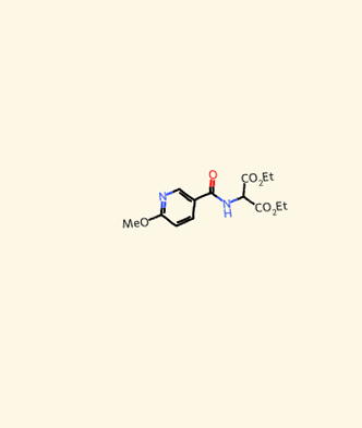 CCOC(=O)C(NC(=O)c1ccc(OC)nc1)C(=O)OCC